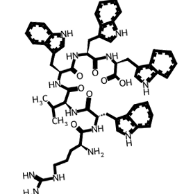 CC(C)[C@H](NC(=O)[C@H](Cc1c[nH]c2ccccc12)NC(=O)[C@@H](N)CCCNC(=N)N)C(=O)N[C@@H](Cc1c[nH]c2ccccc12)C(=O)N[C@@H](Cc1c[nH]c2ccccc12)C(=O)N[C@@H](Cc1c[nH]c2ccccc12)C(=O)O